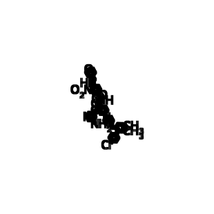 CC1(C)CCC(CN2CCN(c3ccc(C(=O)NS(=O)(=O)c4ccc(NCC5CCOCC5)c([N+](=O)[O-])c4)c(Oc4cncc(N)c4)c3)CC2)=C(c2ccc(Cl)cc2)C1